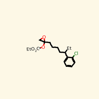 CCOC(=O)OC1(CCCCC(CC)c2ccccc2Cl)CO1